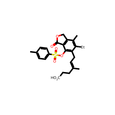 CCc1c(C)c2c(c(OS(=O)(=O)c3ccc(C)cc3)c1C/C=C(\C)CCC(=O)O)C(=O)OC2